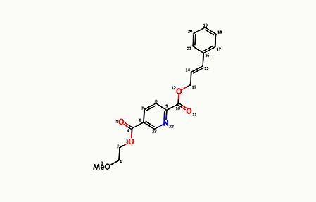 COCCOC(=O)c1ccc(C(=O)OCC=Cc2ccccc2)nc1